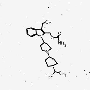 CC(C)[C@H]1CC[C@@H](N2CCC(n3c(COC(N)=O)c(CO)c4ccccc43)CC2)CC1